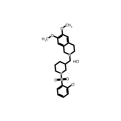 COc1cc2c(cc1OC)CN(CC1CCCN(S(=O)(=O)c3ccccc3Cl)C1)CC2.Cl